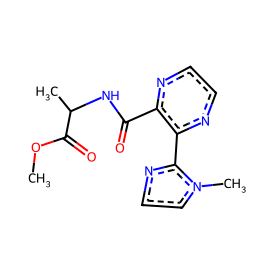 COC(=O)C(C)NC(=O)c1nccnc1-c1nccn1C